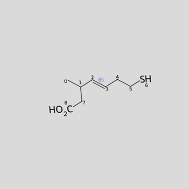 CC(/C=C/CCS)CC(=O)O